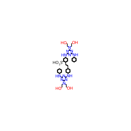 O=S(=O)(O)c1cc(Nc2nc(Nc3ccccc3)nc(N(CCO)CCO)n2)ccc1C=Cc1ccc(Nc2nc(Nc3ccccc3)nc(N(CCO)CCO)n2)cc1